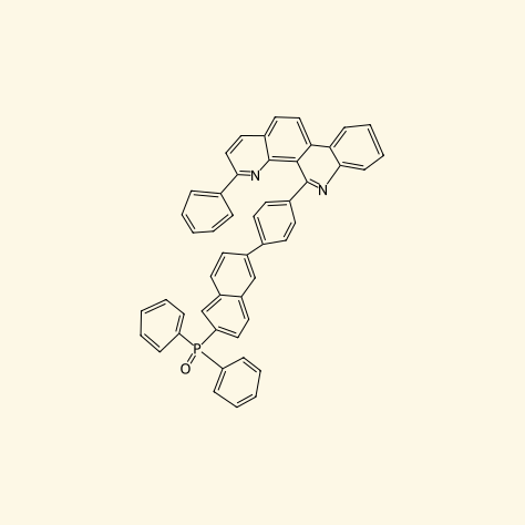 O=P(c1ccccc1)(c1ccccc1)c1ccc2cc(-c3ccc(-c4nc5ccccc5c5ccc6ccc(-c7ccccc7)nc6c45)cc3)ccc2c1